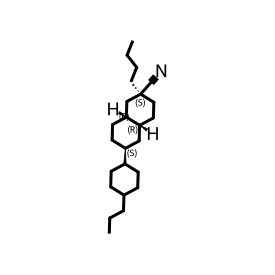 CCCC[C@]1(C#N)CC[C@@H]2C[C@@H](C3CCC(CCC)CC3)CC[C@@H]2C1